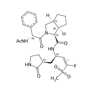 CC(=O)N[C@@H](C(=O)N1C[C@H]2CCC[C@H]2[C@H]1C(=O)N[C@@H](/C=C(/F)S(C)(=O)=O)C[C@@H]1CCNC1=O)c1ccccc1